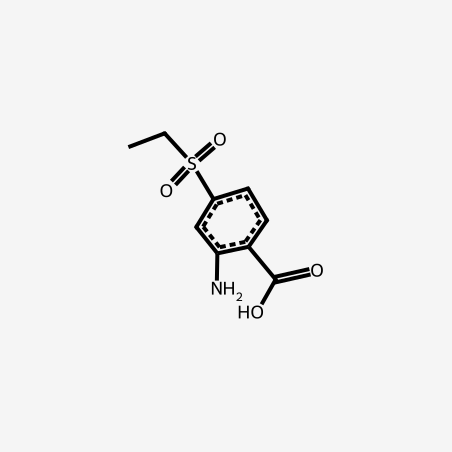 CCS(=O)(=O)c1ccc(C(=O)O)c(N)c1